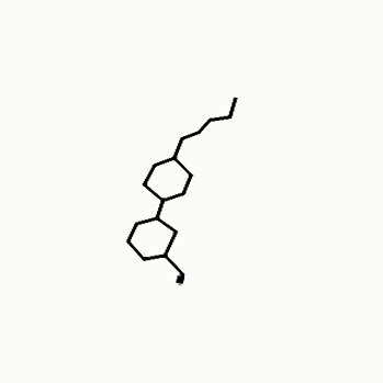 CCCCCC1CCC(C2CCCC(C=O)C2)CC1